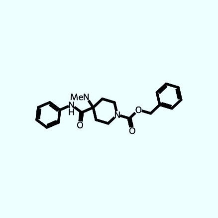 CNC1(C(=O)Nc2ccccc2)CCN(C(=O)OCc2ccccc2)CC1